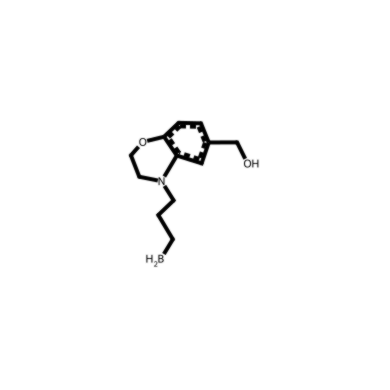 BCCCN1CCOc2ccc(CO)cc21